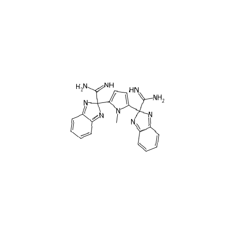 Cn1c(C2(C(=N)N)N=c3ccccc3=N2)ccc1C1(C(=N)N)N=c2ccccc2=N1